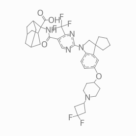 O=C(NC1(C(=O)O)C2CC3CC(C2)CC1C3)c1cnc(N2CC3(CCCC3)c3cc(OC4CCN(C5CC(F)(F)C5)CC4)ccc32)nc1C(F)(F)F